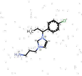 CCC(c1ccc(Cl)cc1)N1C=CN(CCCN)C1